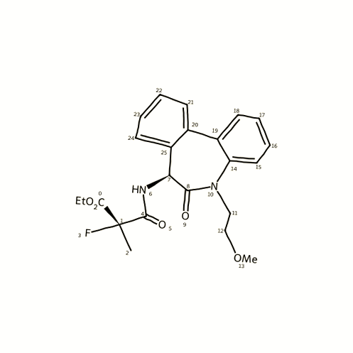 CCOC(=O)[C@@](C)(F)C(=O)N[C@@H]1C(=O)N(CCOC)c2ccccc2-c2ccccc21